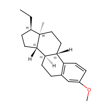 CC[C@@H]1CC[C@H]2[C@@H]3CCc4cc(OC)ccc4[C@H]3CC[C@]12C